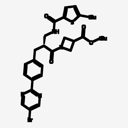 CC(C)(C)OC(=O)C1CN(C(=O)[C@@H](CNC(=O)c2ccc(C(C)(C)C)s2)Cc2ccc(-c3ncc(Br)cn3)cc2)C1